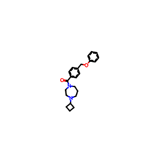 O=C(c1ccc(COc2ccccc2)cc1)N1CCCN(C2CCC2)CC1